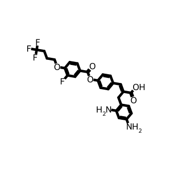 Nc1ccc(C/C(=C\c2ccc(OC(=O)c3ccc(OCCCC(F)(F)F)c(F)c3)cc2)C(=O)O)c(N)c1